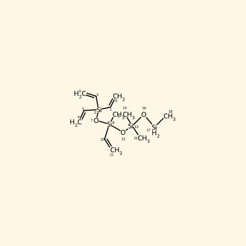 C=C[Si](C=C)(C=C)O[Si](C)(C=C)O[Si](C)(C)O[SiH2]C